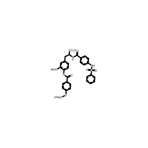 CCCCCCCOc1ccc(C(=O)Oc2ccc(CC(NC(=O)c3ccc(NS(=O)(=O)c4ccccc4)cc3)C(=O)O)cc2OC)cc1